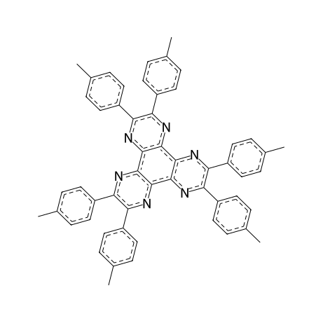 Cc1ccc(-c2nc3c4nc(-c5ccc(C)cc5)c(-c5ccc(C)cc5)nc4c4nc(-c5ccc(C)cc5)c(-c5ccc(C)cc5)nc4c3nc2-c2ccc(C)cc2)cc1